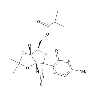 CC(C)C(=O)OC[C@H]1O[C@@](C#N)(n2ccc(N)nc2=O)[C@@H]2OC(C)(C)O[C@@H]21